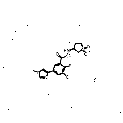 Cn1cnc(-c2cc(Cl)c(F)c(C(=O)NNC3CCS(=O)(=O)C3)c2)c1